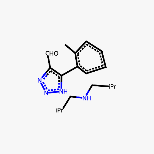 CC(C)CNCC(C)C.Cc1ccccc1-c1[nH]nnc1C=O